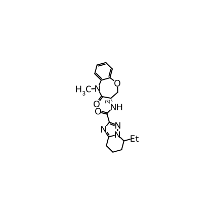 CCC1CCCc2nc(C(=O)N[C@H]3COc4ccccc4N(C)C3=O)nn21